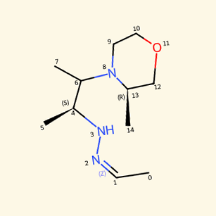 C/C=N\N[C@@H](C)C(C)N1CCOC[C@H]1C